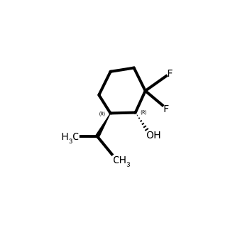 CC(C)[C@H]1CCCC(F)(F)[C@@H]1O